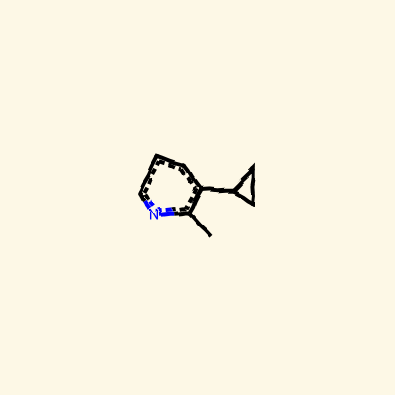 Cc1ncccc1C1CC1